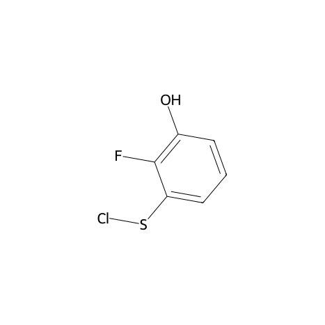 Oc1cccc(SCl)c1F